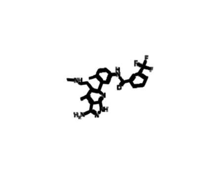 CNCCc1c(-c2cc(NC(=O)c3cccc(C(F)(F)F)c3)ccc2C)nc2[nH]nc(N)c2c1C